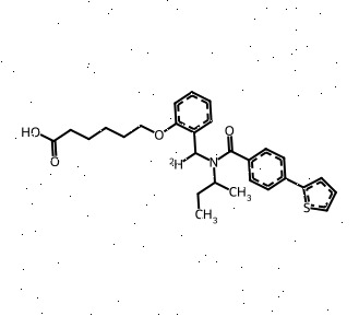 [2H]C(c1ccccc1OCCCCCC(=O)O)N(C(=O)c1ccc(-c2cccs2)cc1)C(C)CC